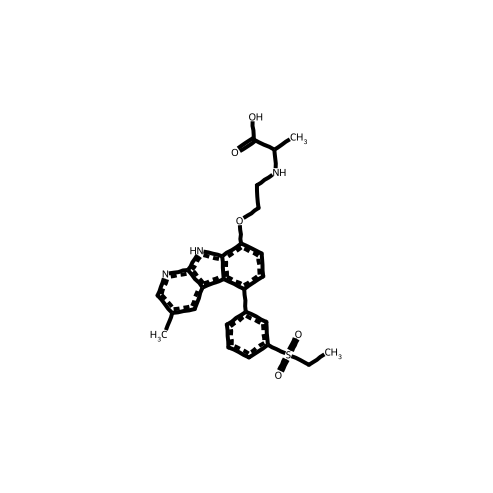 CCS(=O)(=O)c1cccc(-c2ccc(OCCNC(C)C(=O)O)c3[nH]c4ncc(C)cc4c23)c1